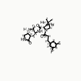 CC1(C)[C@@H]2[C@@H](C(=O)N[C@@H](C[C@@H]3CCNC3=O)C(N)=O)N(C(=O)CCc3cc(F)cc(F)c3)C[C@@H]21